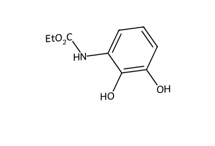 CCOC(=O)Nc1cccc(O)c1O